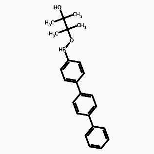 CC(C)(O)C(C)(C)OBc1ccc(-c2ccc(-c3ccccc3)cc2)cc1